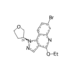 CCOc1nc2cc(Br)ccc2c2c1cnn2[C@H]1CCOC1